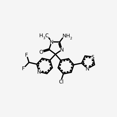 CN1C(=O)C(c2cc(Cl)cc(-c3cscn3)c2)(c2ccnc(C(F)F)c2)N=C1N